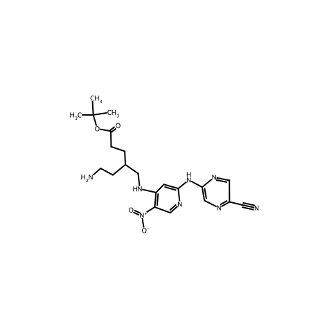 CC(C)(C)OC(=O)CCC(CCN)CNc1cc(Nc2cnc(C#N)cn2)ncc1[N+](=O)[O-]